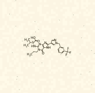 CCCn1c(N[C@@H](C(=O)O)C(C)C)nc2nc(-c3cnn(Cc4cccc(C(F)(F)F)c4)c3)[nH]c2c1=O